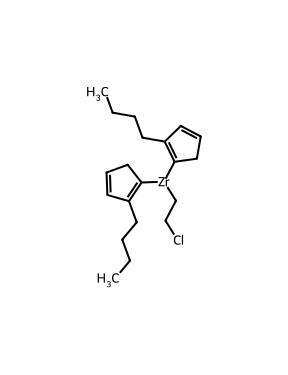 CCCCC1=[C]([Zr]([CH2]CCl)[C]2=C(CCCC)C=CC2)CC=C1